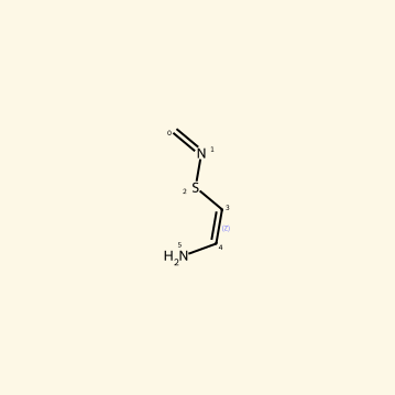 C=NS/C=C\N